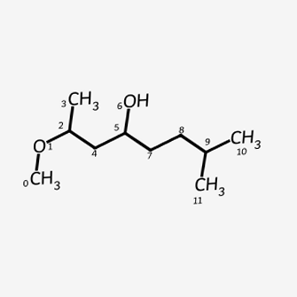 COC(C)CC(O)CCC(C)C